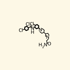 C[C@@H](Nc1cc(N2CCC(C3CCN(CCC(N)=O)C3)CC2)ccc1Cl)c1ccc(Cl)cc1Cl